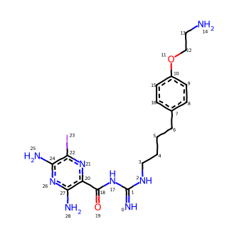 N=C(NCCCCc1ccc(OCCN)cc1)NC(=O)c1nc(I)c(N)nc1N